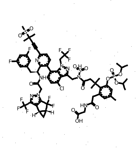 Cc1cc(CC(=O)NCC(=O)O)c(C(C)(C)CC(=O)N(Cc2nn(CC(F)(F)F)c3c(-c4ccc(C#CC(C)(C)S(C)(=O)=O)nc4[C@H](Cc4cc(F)cc(F)c4)NC(=O)Cn4nc(C(F)(F)F)c5c4C(F)(F)[C@@H]4C[C@H]54)ccc(Cl)c23)[SH](=O)=O)c(OP(=O)(OC(C)C)OC(C)C)c1